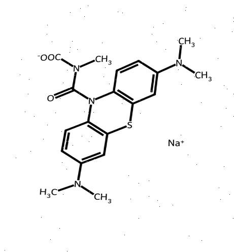 CN(C(=O)[O-])C(=O)N1c2ccc(N(C)C)cc2Sc2cc(N(C)C)ccc21.[Na+]